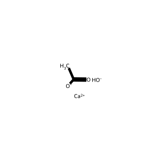 CC(=O)[O-].[Ca+2].[OH-]